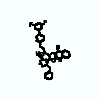 O=C1SC[C@H](Cc2ccccc2)N1C(=O)[C@H](Cn1nnc2ccccc2c1=O)[C@@H](O)CCc1ccc(-c2cc(F)cc(F)c2)cc1